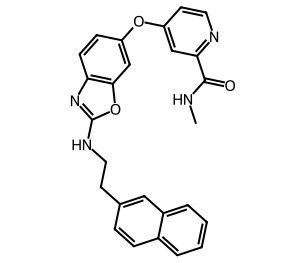 CNC(=O)c1cc(Oc2ccc3nc(NCCc4ccc5ccccc5c4)oc3c2)ccn1